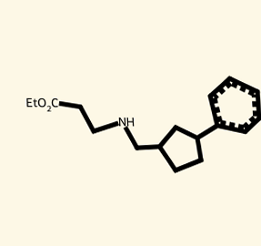 CCOC(=O)CCNCC1CCC(c2ccccc2)C1